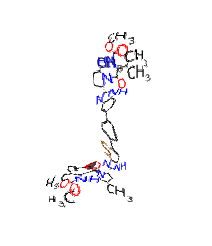 COC(=O)N[C@H](C(=O)N1C[C@@H](C)C[C@H]1c1nc2sc(-c3ccc(-c4ccc5[nH]c([C@@H]6CC[C@H](C)N6C(=O)[C@@H](NC(=O)OC)C(C)C)nc5c4)cc3)cc2[nH]1)C(C)C